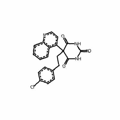 O=C1NC(=O)C(CCc2ccc(Cl)cc2)(c2ccnc3ccccc23)C(=O)N1